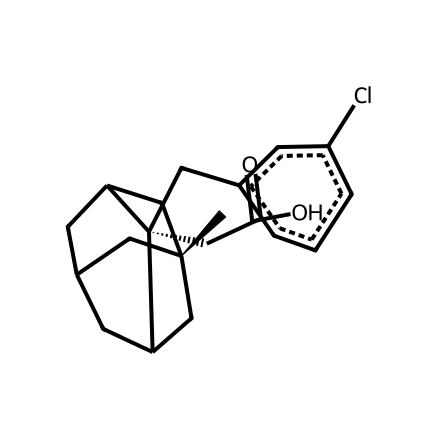 C[C@]12CC3CC(C1)[C@](CC(=O)O)(Cc1cccc(Cl)c1)C(C3)C2